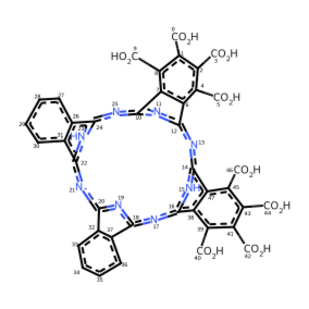 O=C(O)c1c(C(=O)O)c(C(=O)O)c2c(c1C(=O)O)-c1nc-2nc2[nH]c(nc3nc(nc4[nH]c(n1)c1ccccc41)-c1ccccc1-3)c1c(C(=O)O)c(C(=O)O)c(C(=O)O)c(C(=O)O)c21